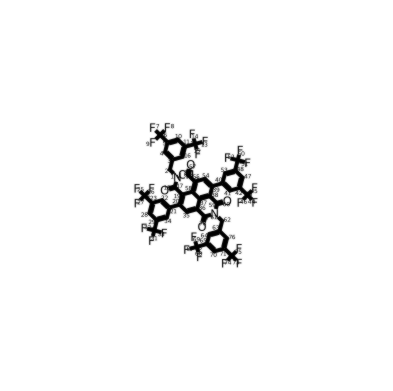 CN(Cc1cc(C(F)(F)F)cc(C(F)(F)F)c1)C(=O)c1c(-c2cc(C(F)(F)F)cc(C(F)(F)F)c2)cc2c3c(c(-c4cc(C(F)(F)F)cc(C(F)(F)F)c4)cc(C=O)c13)C(=O)N(Cc1cc(C(F)(F)F)cc(C(F)(F)F)c1)C2=O